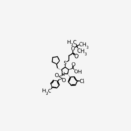 Cc1ccc(S(=O)(=O)N2[C@H](CC3CCCC3)[C@@H](SCCC(=O)OC(C)(C)C)[C@@H](C(=O)O)[C@@H]2c2cccc(Cl)c2)cc1